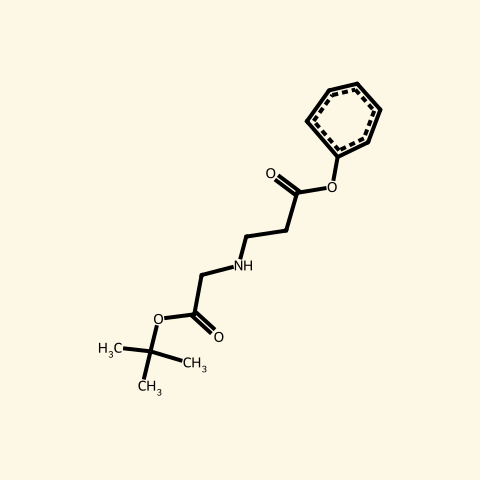 CC(C)(C)OC(=O)CNCCC(=O)Oc1ccccc1